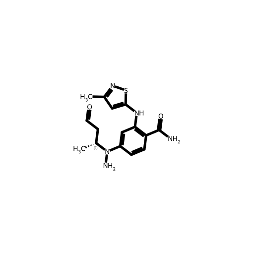 Cc1cc(Nc2cc(N(N)[C@H](C)CC=O)ccc2C(N)=O)sn1